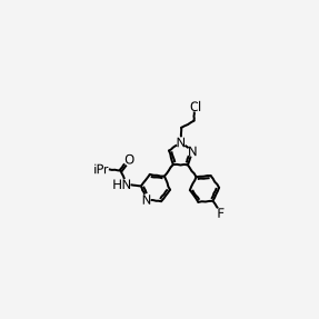 CC(C)C(=O)Nc1cc(-c2cn(CCCl)nc2-c2ccc(F)cc2)ccn1